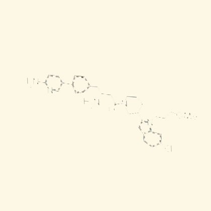 COCCCn1c(C2CCCN(C(=O)C[C@H](N)Cc3ccc(-c4ccc(N)nc4)cc3)C2)cc2ccc(Cl)cc21